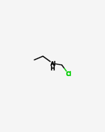 C[CH2][AlH][CH2]Cl